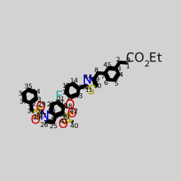 CCOC(=O)CCc1cccc(Cc2csc(-c3cccc(Oc4c(F)cc5c(ccn5S(=O)(=O)Cc5ccccc5)c4S(C)(=O)=O)c3)n2)c1